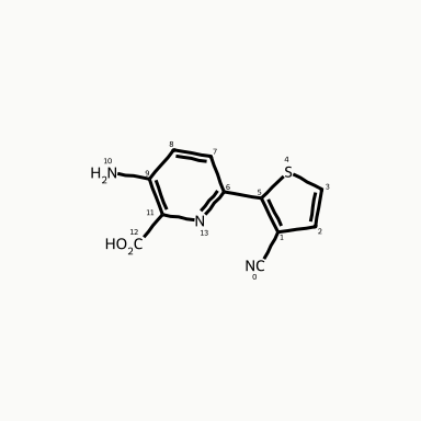 N#Cc1ccsc1-c1ccc(N)c(C(=O)O)n1